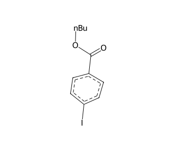 CCCCOC(=O)c1ccc(I)cc1